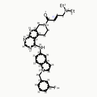 CCN(CC)C/C=C/C(=O)N1CCc2c(sc3ncnc(Nc4ccc5c(ccn5Cc5cccc(F)c5)c4)c23)C1